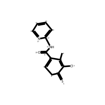 CC1=C(Cl)C(=S)CC=C1C(=O)Nc1ccccn1